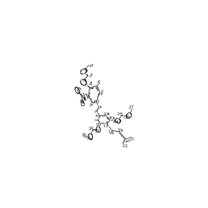 COCOc1ccc(/C=C/c2cc(OCOC)c(CC=C(C)C)c(OCOC)c2)cc1[N+](=O)[O-]